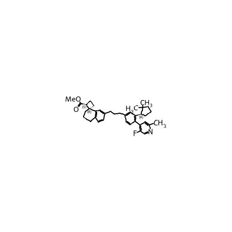 COC(=O)[C@H]1CC[C@]12CCCc1ccc(CCCc3ccc(-c4cc(C)ncc4F)c([C@@H]4CCCC4(C)C)c3)cc12